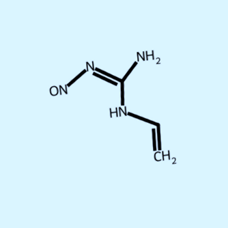 C=CNC(N)=NN=O